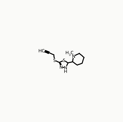 C#CCSC1=NNC(C2CCCCN2C)S1